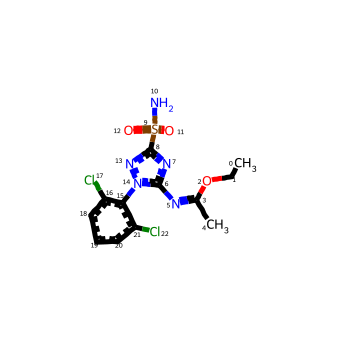 CCOC(C)=Nc1nc(S(N)(=O)=O)nn1-c1c(Cl)cccc1Cl